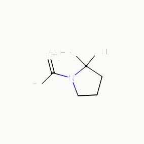 C=C(CC)N1CCCC1(C)C